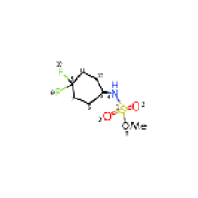 COS(=O)(=O)NC1CCC(F)(F)CC1